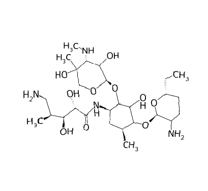 CC[C@@H]1CCC(N)[C@@H](OC2C(O)C(O[C@H]3OCC(C)(O)[C@H](NC)C3O)[C@H](NC(=O)[C@@H](O)[C@@H](O)[C@@H](C)CN)C[C@@H]2C)O1